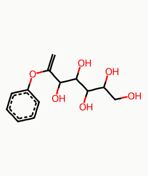 C=C(Oc1ccccc1)C(O)C(O)C(O)C(O)CO